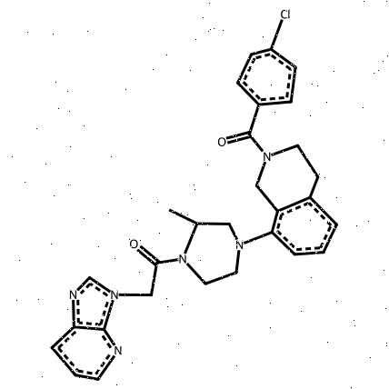 CC1CN(c2cccc3c2CN(C(=O)c2ccc(Cl)cc2)CC3)CCN1C(=O)Cn1cnc2cccnc21